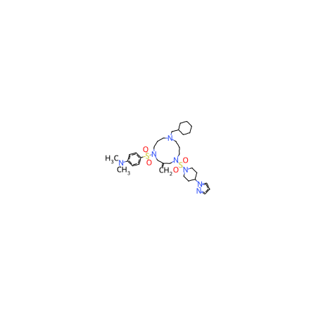 C=C1CN(S(=O)(=O)c2ccc(N(C)C)cc2)CCCN(CC2CCCCC2)CCCN(S(=O)(=O)N2CCC(n3cccn3)CC2)C1